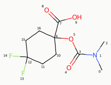 CN(C)C(=O)OC1(C(=O)O)CCC(F)(F)CC1